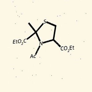 CCOC(=O)C1CSC(C)(C(=O)OCC)N1C(C)=O